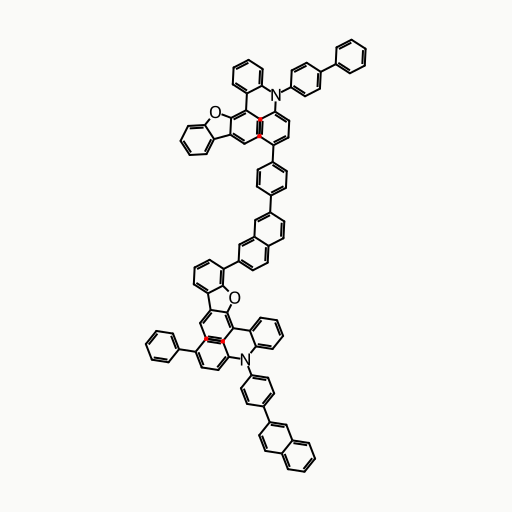 c1ccc(-c2ccc(N(c3ccc(-c4ccc(-c5ccc6ccc(-c7cccc8c7oc7c(-c9ccccc9N(c9ccc(-c%10ccccc%10)cc9)c9ccc(-c%10ccc%11ccccc%11c%10)cc9)cccc78)cc6c5)cc4)cc3)c3ccccc3-c3cccc4c3oc3ccccc34)cc2)cc1